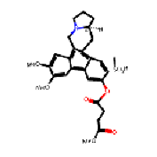 COC(=O)CCC(=O)Oc1ccc2c3c(c4cc(OC)c(OC)cc4c2c1)CN1CCC[C@H]1C3.CS(=O)(=O)O